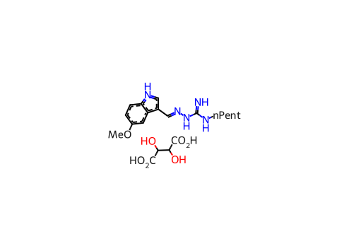 CCCCCNC(=N)N/N=C/c1c[nH]c2ccc(OC)cc12.O=C(O)C(O)C(O)C(=O)O